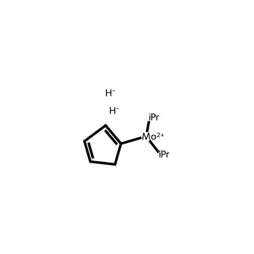 C[CH](C)[Mo+2]([C]1=CC=CC1)[CH](C)C.[H-].[H-]